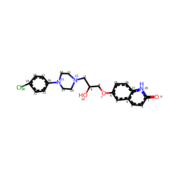 O=c1ccc2cc(OCC(O)CN3CCN(c4ccc(Cl)cc4)CC3)ccc2[nH]1